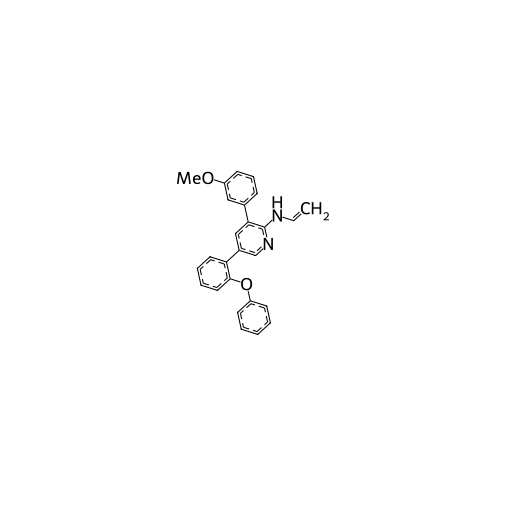 C=CNc1ncc(-c2ccccc2Oc2ccccc2)cc1-c1cccc(OC)c1